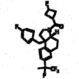 CC(F)(c1ccc2c(c1)CC[C@H]1N(C(=O)C3CC(F)C3)CC[C@@]21Cc1ccc(F)cc1)C(F)(F)F